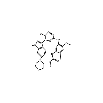 C=CC(=O)Nc1cc(Nc2ncc(Cl)c(-c3cn(C)c4cc(N5CCOCC5)ccc34)n2)c(OC)cc1F